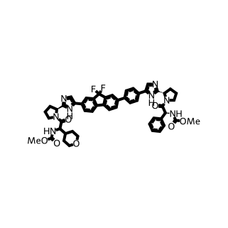 COC(=O)NC(C(=O)N1CCC[C@H]1c1ncc(-c2ccc3c(c2)C(F)(F)c2cc(-c4ccc(-c5cnc([C@@H]6CCCN6C(=O)[C@H](NC(=O)OC)c6ccccc6)[nH]5)cc4)ccc2-3)[nH]1)C1CCOCC1